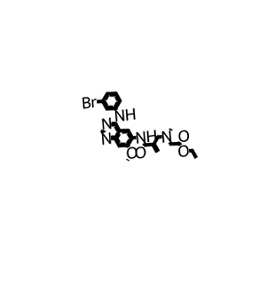 C=C(CN(C)CC(=O)OCC)C(=O)Nc1cc2c(Nc3cccc(Br)c3)ncnc2cc1OC